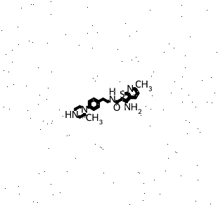 Cc1ccc2c(N)c(C(=O)NCCc3ccc(N4CCNC[C@@H]4C)cc3)sc2n1